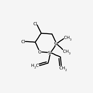 C=C[Si]1(C=C)OC(Cl)C(Cl)C[Si]1(C)C